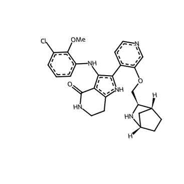 COc1c(Cl)cccc1Nc1c(-c2ccncc2OC[C@@H]2N[C@H]3CC[C@@H]2C3)[nH]c2c1C(=O)NCC2